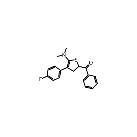 CN(C)C1=C(c2ccc(F)cc2)CC(C(=O)c2ccccc2)S1